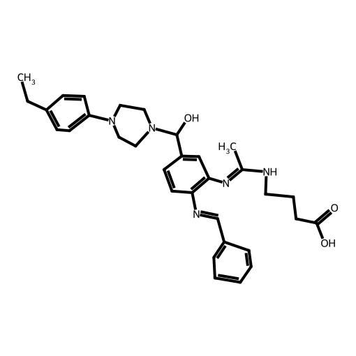 CCc1ccc(N2CCN(C(O)c3ccc(/N=C/c4ccccc4)c(/N=C(\C)NCCCC(=O)O)c3)CC2)cc1